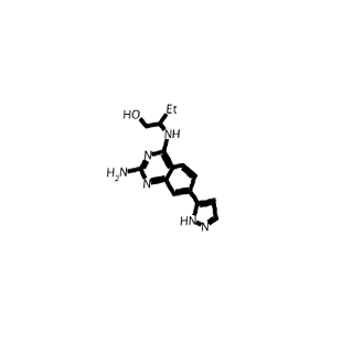 CCC(CO)Nc1nc(N)nc2cc(-c3ccn[nH]3)ccc12